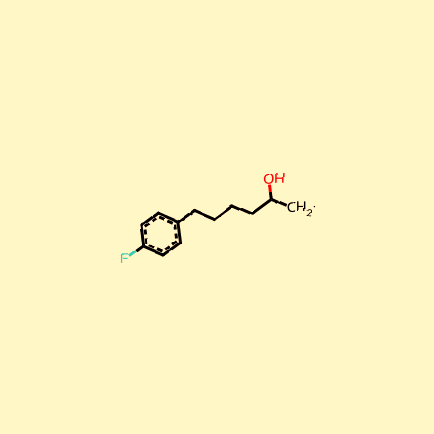 [CH2]C(O)CCCCc1ccc(F)cc1